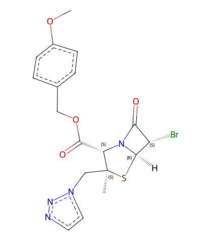 COc1ccc(COC(=O)[C@@H]2N3C(=O)[C@H](Br)[C@H]3S[C@@]2(C)Cn2ccnn2)cc1